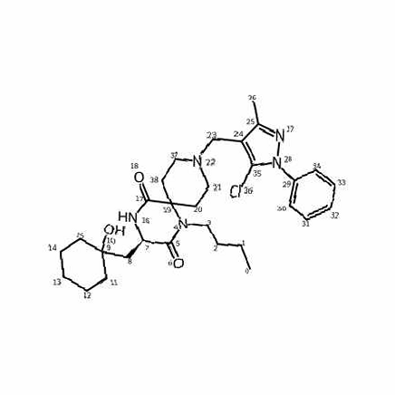 CCCCN1C(=O)[C@@H](CC2(O)CCCCC2)NC(=O)C12CCN(Cc1c(C)nn(-c3ccccc3)c1Cl)CC2